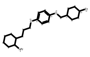 CCCC1CCCCC1CCCOc1ccc(OCC2CCC(CC)CC2)cc1